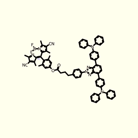 CC1=N/C(=C(/c2c(C)cc(OC(=O)CCCc3ccc(-n4nc5c(-c6ccc(N(c7ccccc7)c7ccccc7)cc6)ccc(-c6ccc(N(c7ccccc7)c7ccccc7)cc6)c5n4)cc3)cc2C)c2c(C)c(C#N)c(C)n2B(F)F)C(C)=C1C#N